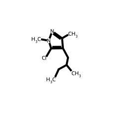 CCC(C)Cc1c(C)nn(C)c1Cl